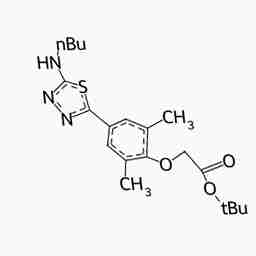 CCCCNc1nnc(-c2cc(C)c(OCC(=O)OC(C)(C)C)c(C)c2)s1